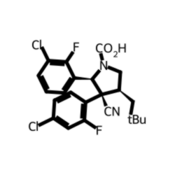 CC(C)(C)C[C@@H]1CN(C(=O)O)[C@H](c2cccc(Cl)c2F)[C@@]1(C#N)c1ccc(Cl)cc1F